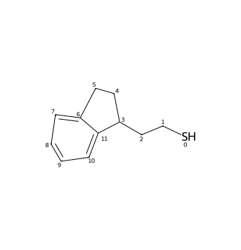 SCCC1CCc2ccccc21